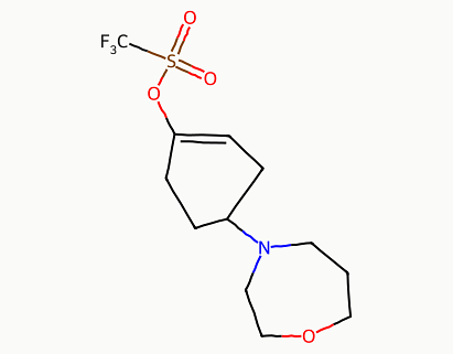 O=S(=O)(OC1=CCC(N2CCCOCC2)CC1)C(F)(F)F